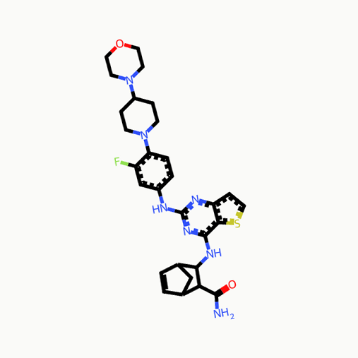 NC(=O)C1C2C=CC(C2)C1Nc1nc(Nc2ccc(N3CCC(N4CCOCC4)CC3)c(F)c2)nc2ccsc12